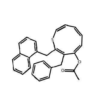 CC(=O)Oc1cccccsc(Cc2cccc3ccccc23)c1Cc1ccccc1